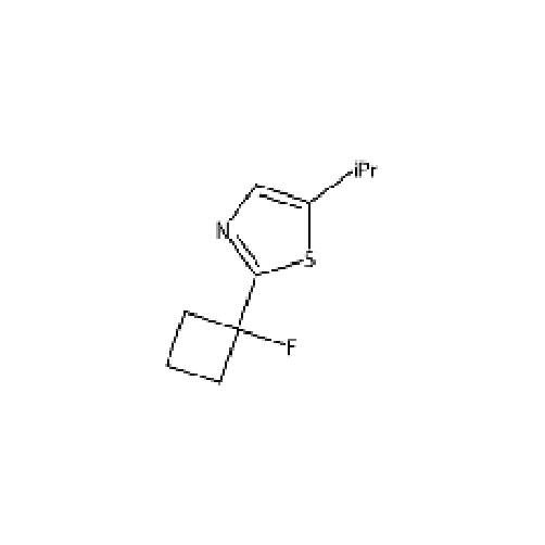 CC(C)c1cnc(C2(F)CCC2)s1